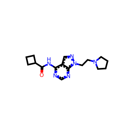 O=C(Nc1ncnc2c1cnn2CCN1CCCC1)C1CCC1